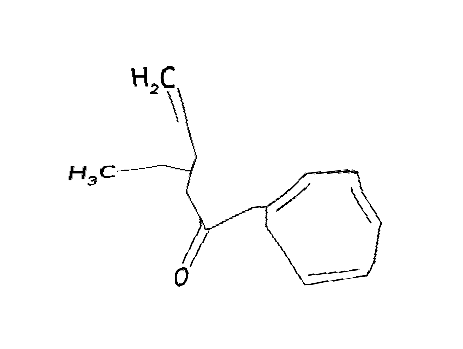 C=CC(C)C(=O)c1ccccc1